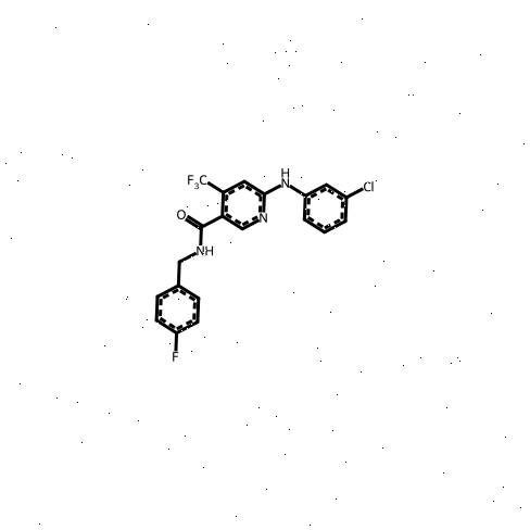 O=C(NCc1ccc(F)cc1)c1cnc(Nc2cccc(Cl)c2)cc1C(F)(F)F